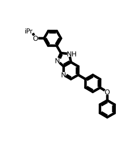 CC(C)Oc1cccc(-c2nc3ncc(-c4ccc(Oc5ccccc5)cc4)cc3[nH]2)c1